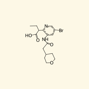 CCC(C(=O)O)c1ncc(Br)cc1NC(=O)CC1CCOCC1